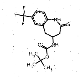 CC(C)(C)OC(=O)NC1CC(=S)Nc2ccc(C(F)(F)F)cc2C1